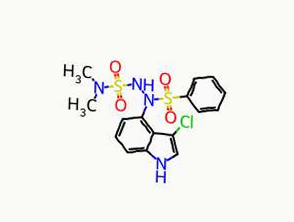 CN(C)S(=O)(=O)NN(c1cccc2[nH]cc(Cl)c12)S(=O)(=O)c1ccccc1